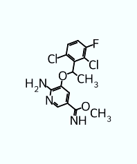 COC(=N)c1cnc(N)c(OC(C)c2c(Cl)ccc(F)c2Cl)c1